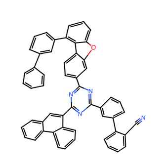 N#Cc1ccccc1-c1cccc(-c2nc(-c3ccc4c(c3)oc3cccc(-c5cccc(-c6ccccc6)c5)c34)nc(-c3cc4ccccc4c4ccccc34)n2)c1